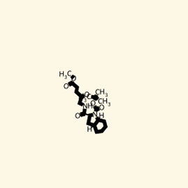 COC(=O)CCC(=O)CNC(=O)[C@@H]1C[C@@H]2CCCC[C@@H]2N1C(=O)OC(C)(C)C